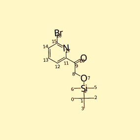 CC(C)(C)[Si](C)(C)OCC(=O)c1cccc(Br)n1